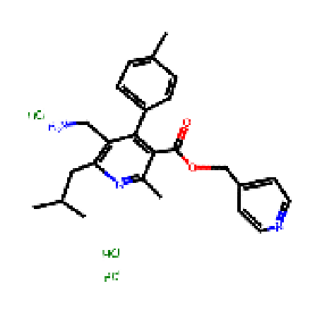 Cc1ccc(-c2c(CN)c(CC(C)C)nc(C)c2C(=O)OCc2ccncc2)cc1.Cl.Cl.Cl